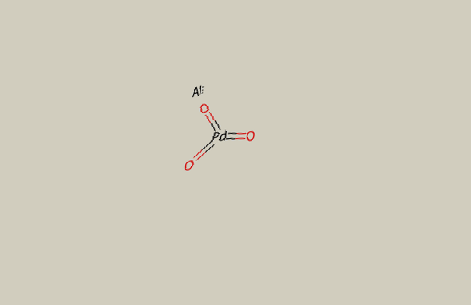 [Al].[O]=[Pd](=[O])=[O]